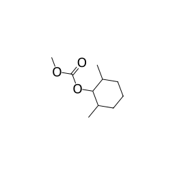 COC(=O)OC1C(C)CCCC1C